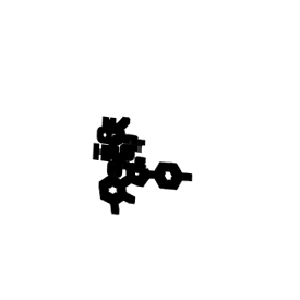 Cc1ccc(-c2cc(-c3cccc(C)c3C)c(S(=O)(=O)Nc3onc(C)c3Br)s2)cc1